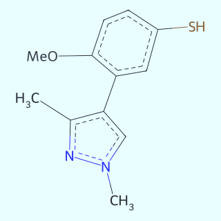 COc1ccc(S)cc1-c1cn(C)nc1C